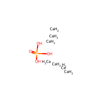 O=P(O)(O)O.[CaH2].[CaH2].[CaH2].[CaH2].[CaH2].[CaH2].[CaH2]